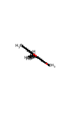 CCCCCCCCC=CCCCCCCCC(=O)NC(CCCCCCCCCCCCCC)C(=O)N[C@@H](CO)C(=O)O